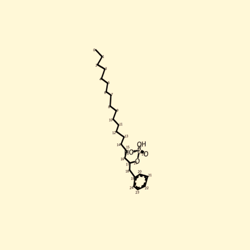 CCCCCCCCCCCCCCCCCC(Cc1ccccc1)OP(=O)(O)O